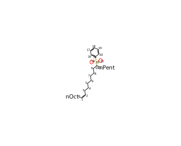 CCCCCCCC/C=C\CCCCCCCC(CCCCC)S(=O)(=O)c1ccccc1